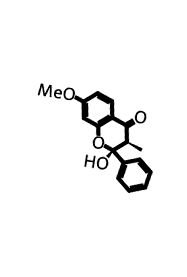 COc1ccc2c(c1)O[C@@](O)(c1ccccc1)[C@H](C)C2=O